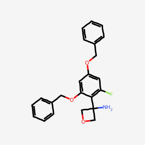 NC1(c2c(F)cc(OCc3ccccc3)cc2OCc2ccccc2)COC1